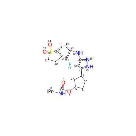 CC(C)NC(=O)OC1CCC(c2cc(Nc3ccc4c(c3F)CCS4(=O)=O)n[nH]2)C1